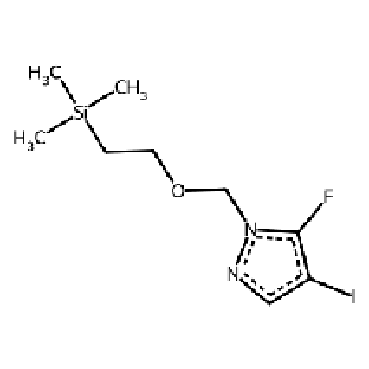 C[Si](C)(C)CCOCn1ncc(I)c1F